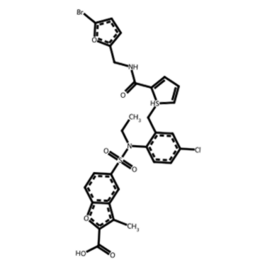 CCN(c1ccc(Cl)cc1C[SH]1C=CC=C1C(=O)NCc1ccc(Br)o1)S(=O)(=O)c1ccc2oc(C(=O)O)c(C)c2c1